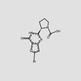 O=C(O)N1CCC[C@@H]1c1nc2cc(Br)sc2c(=O)[nH]1